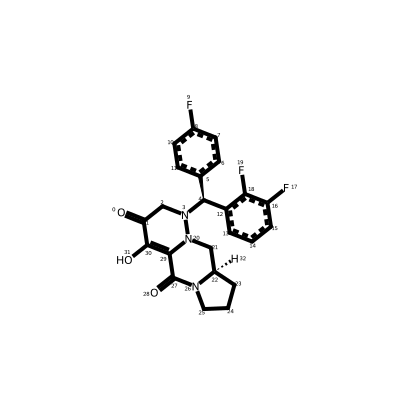 O=C1CN([C@@H](c2ccc(F)cc2)c2cccc(F)c2F)N2C[C@H]3CCCN3C(=O)C2=C1O